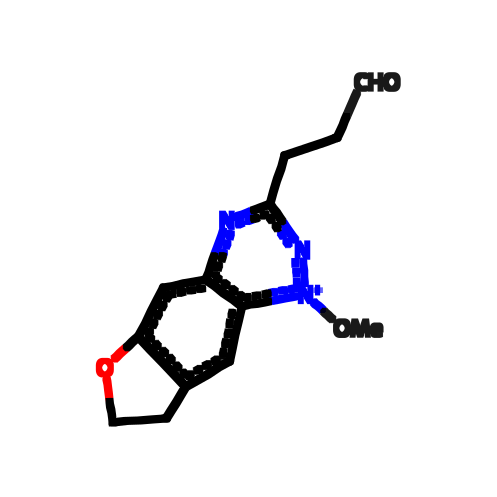 CO[n+]1nc(CCC=O)nc2cc3c(cc21)CCO3